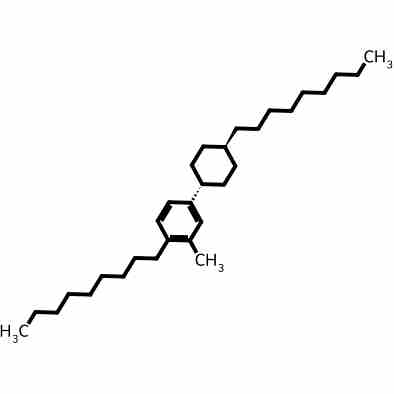 CCCCCCCCCc1ccc([C@H]2CC[C@H](CCCCCCCCC)CC2)cc1C